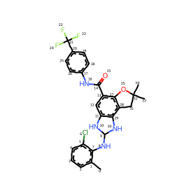 Cc1cccc(Cl)c1NC1Nc2cc(C(=O)Nc3ccc(C(F)(F)F)cc3)c3c(c2N1)CC(C)(C)O3